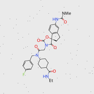 CCNC(=O)C1CCC(N(Cc2ccc(F)cc2)C(=O)CN2C(=O)O[C@@]3(CCc4cc(NC(=O)NC)ccc43)C2=O)CC1